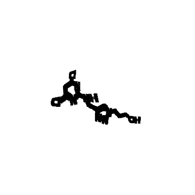 OCCCn1cc(CNc2nc(Cl)cc(Cl)n2)nn1